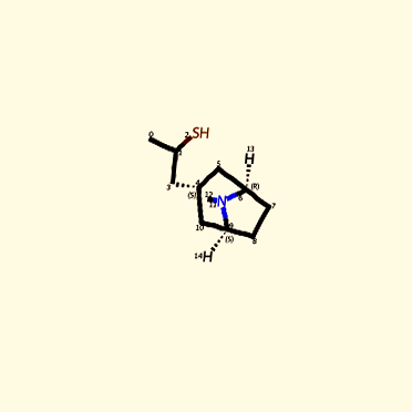 CC(S)C[C@@H]1C[C@H]2CC[C@@H](C1)N2C